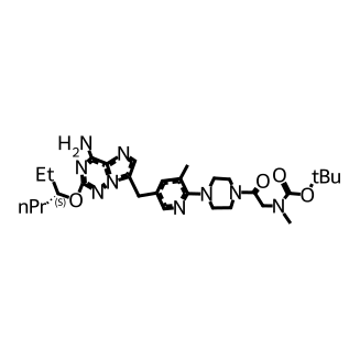 CCC[C@H](CC)Oc1nc(N)c2ncc(Cc3cnc(N4CCN(C(=O)CN(C)C(=O)OC(C)(C)C)CC4)c(C)c3)n2n1